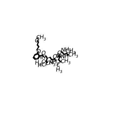 CCC(C)[C@H](NC(=O)[C@@H](C[C@H](O)[C@@H](N)C[C@H](CNC(=O)c1ccccc1OCCCCOC)C(C)C)C(C)C)C(N)=O.Cl